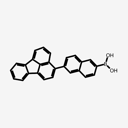 OB(O)c1ccc2cc(-c3ccc4c5c(cccc35)-c3ccccc3-4)ccc2c1